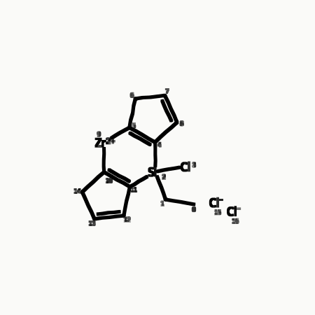 CC[Si]1(Cl)C2=[C](CC=C2)[Zr+2][C]2=C1C=CC2.[Cl-].[Cl-]